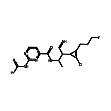 CC(C)C(=O)Nc1nccc(C(=O)NC(C)C(C=N)C2C(Cl)=C2CCCF)n1